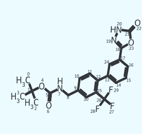 CC(C)(C)OC(=O)NCc1ccc(-c2cccc(-c3n[nH]c(=O)o3)c2)c(C(F)(F)F)c1